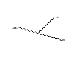 CCCCCCCCCCCCCCCCCCCCP(CCCCCCCCCCCCCCCCCCCC)CCCCCCCCCCCCCCCCCCCC